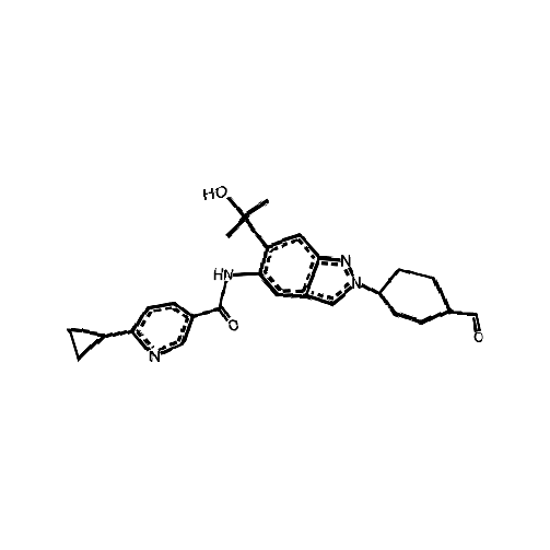 CC(C)(O)c1cc2nn(C3CCC(C=O)CC3)cc2cc1NC(=O)c1ccc(C2CC2)nc1